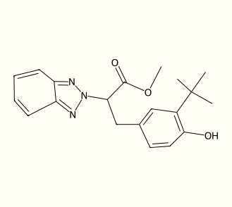 COC(=O)C(Cc1ccc(O)c(C(C)(C)C)c1)n1nc2ccccc2n1